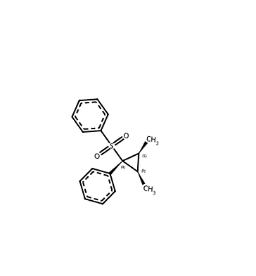 C[C@@H]1[C@H](C)[C@@]1(c1ccccc1)S(=O)(=O)c1ccccc1